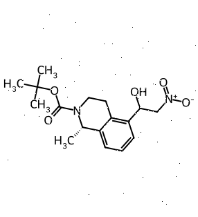 C[C@H]1c2cccc(C(O)C[N+](=O)[O-])c2CCN1C(=O)OC(C)(C)C